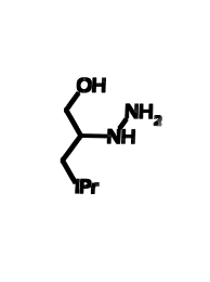 CC(C)CC(CO)NN